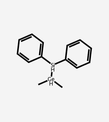 [CH3][GeH]([CH3])[SiH](c1ccccc1)c1ccccc1